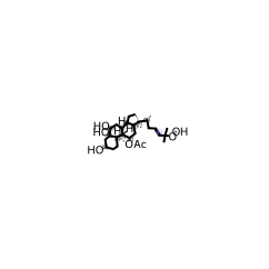 CC(=O)O[C@@H]1C[C@]2(C)[C@@H]([C@H](C)C/C=C/C(C)(C)OO)CC[C@H]2[C@@H]2C[C@@H](O)[C@@]3(O)C[C@@H](O)CC[C@]3(C)[C@H]21